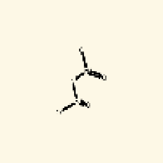 O=[N+]([O-])[N-][N+](=O)[O-]